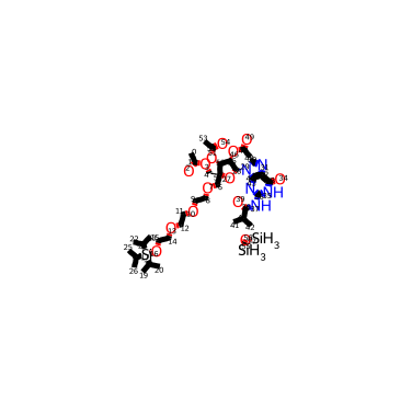 CC(=O)OC[C@@]1(COCCOCCOCCO[Si](C(C)C)(C(C)C)C(C)C)O[C@@H](n2cnc3c(=O)[nH]c(NC(=O)C(C)C)nc32)[C@H](OC(C)=O)[C@@H]1OC(C)=O.[SiH3]O[SiH3]